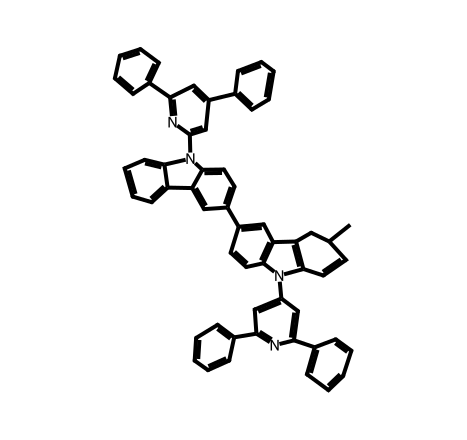 CC1C=Cc2c(c3cc(-c4ccc5c(c4)c4ccccc4n5-c4cc(-c5ccccc5)cc(-c5ccccc5)n4)ccc3n2-c2cc(-c3ccccc3)nc(-c3ccccc3)c2)C1